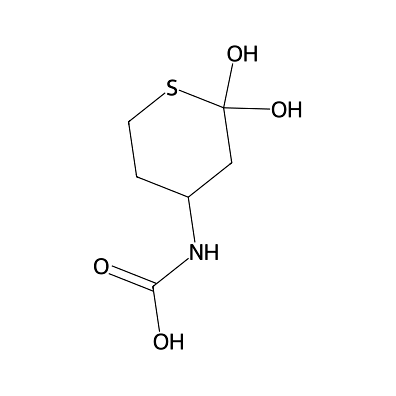 O=C(O)NC1CCSC(O)(O)C1